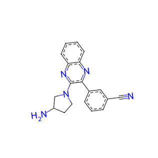 N#Cc1cccc(-c2nc3ccccc3nc2N2CCC(N)C2)c1